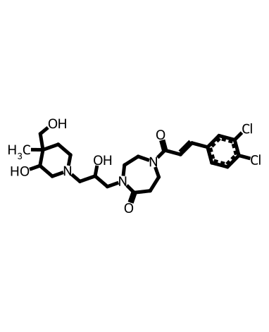 CC1(CO)CCN(CC(O)CN2CCN(C(=O)C=Cc3ccc(Cl)c(Cl)c3)CCC2=O)CC1O